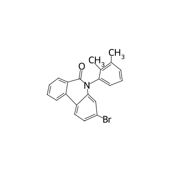 Cc1cccc(-n2c(=O)c3ccccc3c3ccc(Br)cc32)c1C